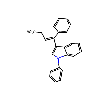 O=C(O)C/C=C(\c1ccccc1)c1cn(-c2ccccc2)c2ccccc12